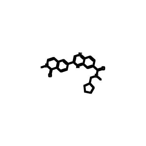 CN(CC1CCCC1)C(=O)c1ccc2ncc(-c3ccc4c(=O)n(C)ccc4c3)nc2c1